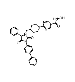 O=C(NO)c1cnc(N2CCC(CN3C(=O)N(c4ccc(-c5ccccc5)cc4)C(=O)C3c3ccccc3)CC2)nc1